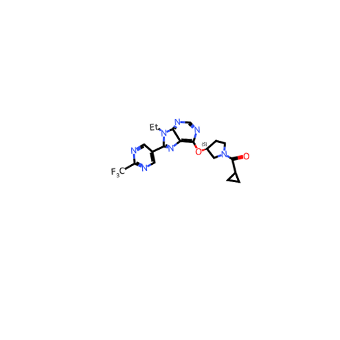 CCn1c(-c2cnc(C(F)(F)F)nc2)nc2c(O[C@H]3CCN(C(=O)C4CC4)C3)ncnc21